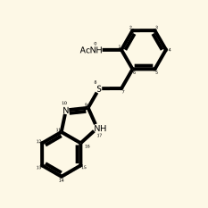 CC(=O)Nc1ccccc1CSc1nc2ccccc2[nH]1